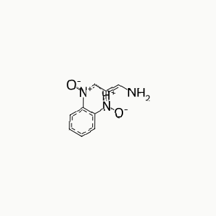 NC=C1C=[N+]([O-])c2ccccc2[NH+]1[O-]